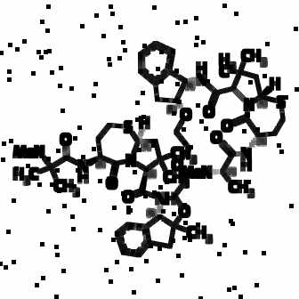 CN[C@@H](C)C(=O)N[C@H]1CCS[C@H]2CC(C)(C)C(C(=O)N[C@H]3c4ccccc4C[C@H]3OCCOCCOC3(C)Cc4ccccc4[C@@H]3NC(=O)[C@H]3N4C(=O)[C@@H](NC(=O)C(C)(C)NC)CCS[C@H]4CC3(C)C)N2C1=O